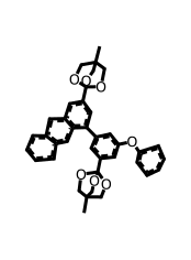 CC12COC(c3cc(Oc4ccccc4)cc(-c4cc(C56OCC(C)(CO5)CO6)cc5cc6ccccc6cc45)c3)(OC1)OC2